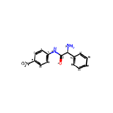 NC(C(=O)Nc1ccc([N+](=O)[O-])cc1)c1ccccc1